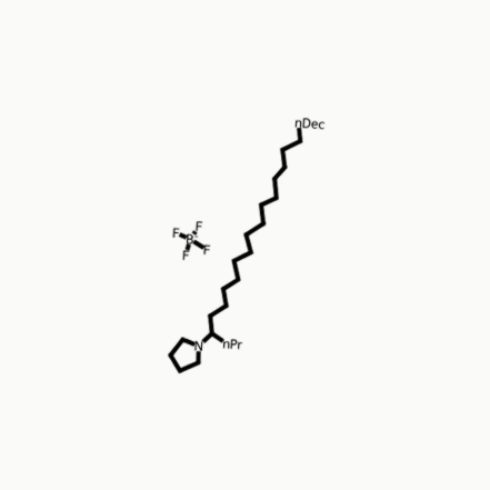 CCCCCCCCCCCCCCCCCCCCCCCCC(CCC)N1CCCC1.F[B-](F)(F)F